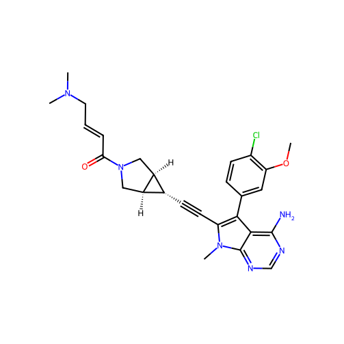 COc1cc(-c2c(C#C[C@@H]3[C@H]4CN(C(=O)/C=C/CN(C)C)C[C@@H]34)n(C)c3ncnc(N)c23)ccc1Cl